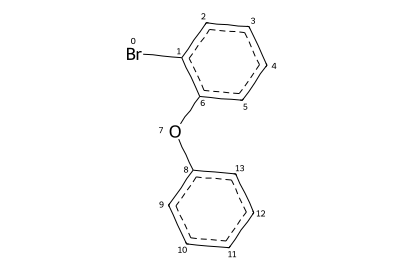 Brc1ccccc1Oc1ccccc1